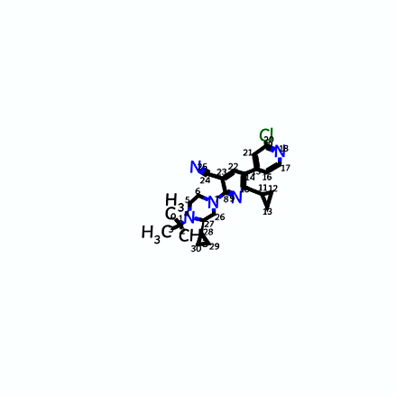 CC(C)(C)N1CCN(c2nc(C3CC3)c(-c3ccnc(Cl)c3)cc2C#N)C[C@H]1C1CC1